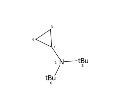 CC(C)(C)N(C1CC1)C(C)(C)C